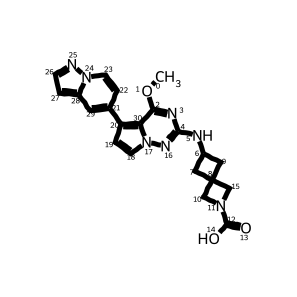 COc1nc(NC2CC3(C2)CN(C(=O)O)C3)nn2ccc(-c3ccn4nccc4c3)c12